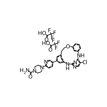 NC(=O)N1CCN(c2ccc(-c3cc4cc(c3)Nc3ncc(Cl)c(n3)Nc3cccc(c3)OCC4)cn2)CC1.O=C(O)C(F)(F)F.O=C(O)C(F)(F)F